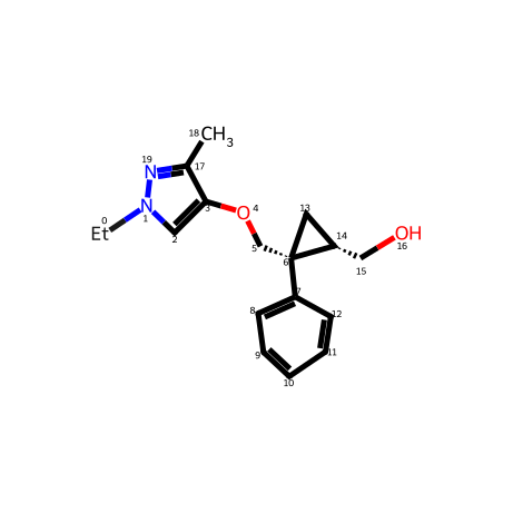 CCn1cc(OC[C@]2(c3ccccc3)C[C@@H]2CO)c(C)n1